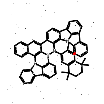 Cc1cc2c(cc1N1B3c4c(cc5ccccc5c4-n4c5ccccc5c5cccc3c54)-c3ccc4c5cccc6c7ccccc7n(c4c31)c65)C(C)(C)CCC2(C)C